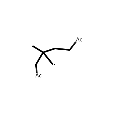 [CH2]C(C)(CCC(C)=O)CC(C)=O